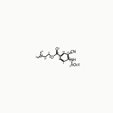 CCCCCCCCNc1ccc(C(=O)OCCN(C)C)cc1C#N